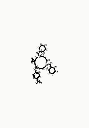 CN(C)c1ccc(SN2CCCN(CC3CCCCC3)CCCN(SN3CCCCC3)CC3(CC3)C2)cc1